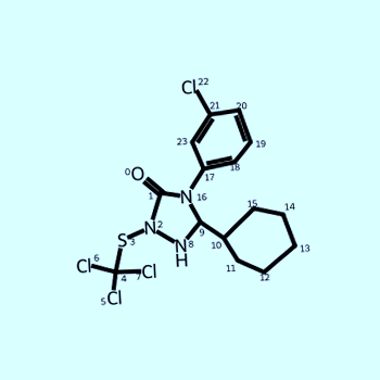 O=C1N(SC(Cl)(Cl)Cl)NC(C2CCCCC2)N1c1cccc(Cl)c1